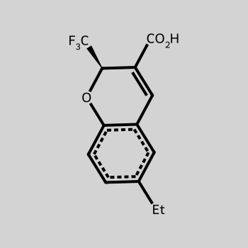 CCc1ccc2c(c1)C=C(C(=O)O)[C@H](C(F)(F)F)O2